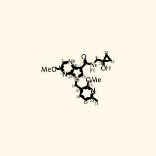 COc1cnc2c(C(=O)NCC3(O)CC3)cn(Cc3ccc(C)nc3OC)c2n1